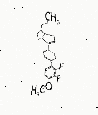 CCCC1CCC2C(C3CC=C(c4ccc(OC)c(F)c4F)CC3)=CCC12